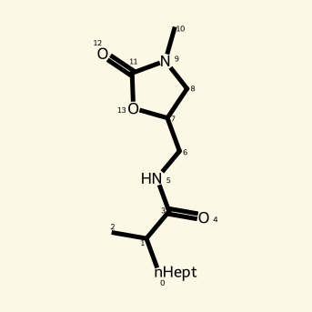 CCCCCCCC(C)C(=O)NCC1CN(C)C(=O)O1